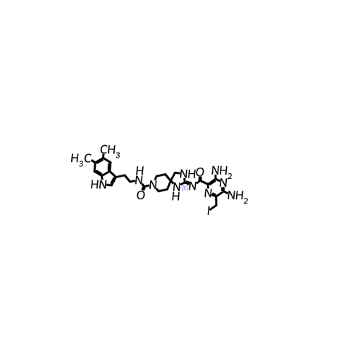 Cc1cc2[nH]cc(CCNC(=O)N3CCC4(CC3)CN/C(=N\C(=O)c3nc(CI)c(N)nc3N)N4)c2cc1C